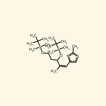 CC(=Cc1csc(C)n1)C(CCO[Si](C)(C)C(C)(C)C)O[Si](C)(C)C(C)(C)C